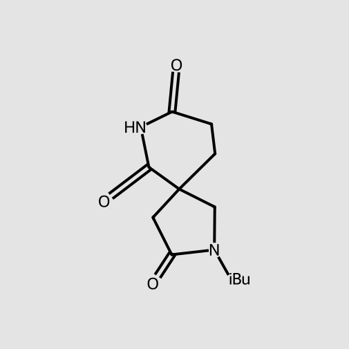 CCC(C)N1CC2(CCC(=O)NC2=O)CC1=O